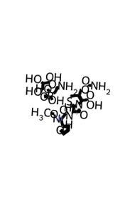 CO/N=C(\C(=O)N[C@@H]1C(=O)N2C(C(=O)O)=C(COC(N)=O)CS[C@H]12)c1ccco1.NC(=O)CP(=O)(O)O.OCC(O)CO